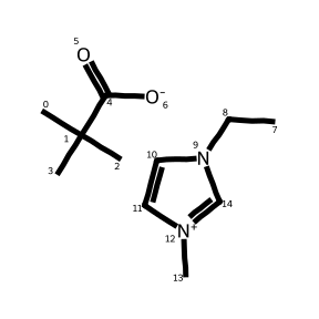 CC(C)(C)C(=O)[O-].CCn1cc[n+](C)c1